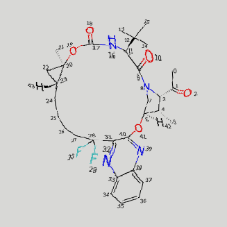 CC(=O)[C@@H]1[C@H](C)[C@@H]2CN1C(=O)[C@H](C(C)(C)C)NC(=O)O[C@]1(C)C[C@H]1CCCCC(F)(F)c1nc3ccccc3nc1O2